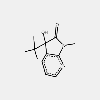 CN1C(=O)C(O)(C(C)(C)C)c2cccnc21